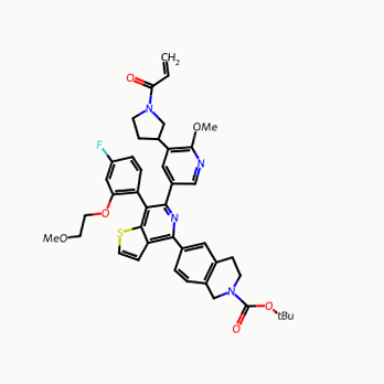 C=CC(=O)N1CCC(c2cc(-c3nc(-c4ccc5c(c4)CCN(C(=O)OC(C)(C)C)C5)c4ccsc4c3-c3ccc(F)cc3OCCOC)cnc2OC)C1